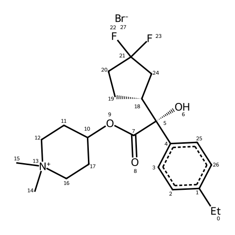 CCc1ccc([C@@](O)(C(=O)OC2CC[N+](C)(C)CC2)[C@@H]2CCC(F)(F)C2)cc1.[Br-]